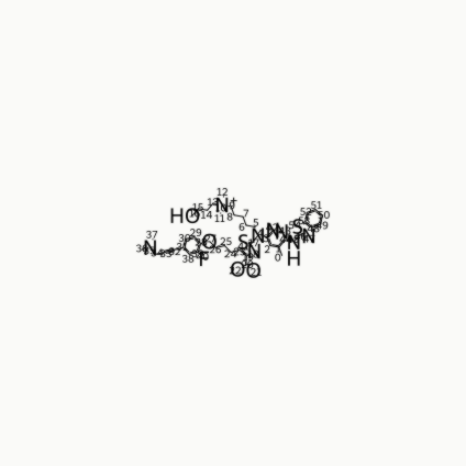 Cc1cc(N(CCCCC[N+](C)(C)CCCO)c2nc(C(=O)[O-])c(CCCOc3ccc(C#CCN(C)C)cc3F)s2)nnc1Nc1nc2ccccc2s1